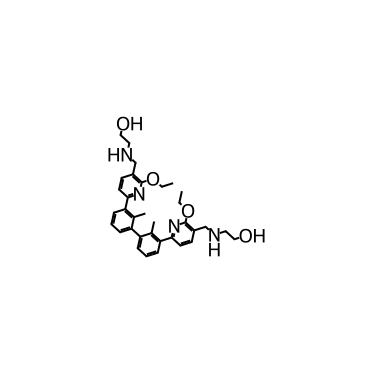 CCOc1nc(-c2cccc(-c3cccc(-c4ccc(CNCCO)c(OCC)n4)c3C)c2C)ccc1CNCCO